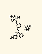 CN1CCN(c2ccccc2C(=O)/C=C/c2cccc(/C=C/C(=O)NO)c2)CC1.O=C(O)C(F)(F)F